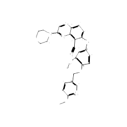 COc1ccc(COc2ccc(Nc3ccc4ncc(N5CCOCC5)nc4c3C#N)cc2OC)cn1